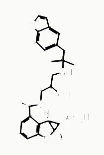 C[C@@H](OCC(O)CNC(C)(C)Cc1ccc2occc2c1)c1cccc2c1[C@@H]1[C@H](O2)[C@H]1C(=O)O